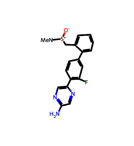 CN[S+]([O-])Cc1ccccc1-c1ccc(-c2cnc(N)cn2)c(F)c1